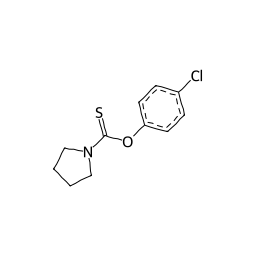 S=C(Oc1ccc(Cl)cc1)N1CCCC1